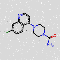 NC(=O)N1CCN(c2ccnc3cc(Cl)ccc23)CC1